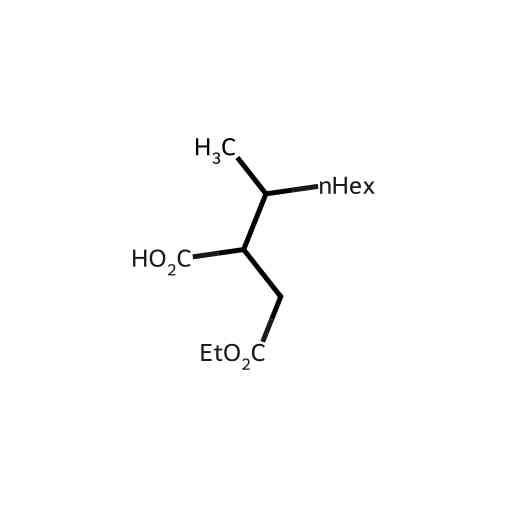 CCCCCCC(C)C(CC(=O)OCC)C(=O)O